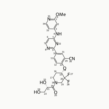 COc1cc(Nc2ccnc(-c3ccc(O[C@H]4CCN(C(=O)[C@@H](O)CO)CC4(F)F)c(C#N)c3)n2)ccn1